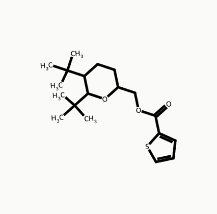 CC(C)(C)C1CCC(COC(=O)c2cccs2)OC1C(C)(C)C